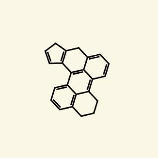 C1=CC2=C(C1)Cc1cccc3c4c5c(cccc5c2c13)CCC4